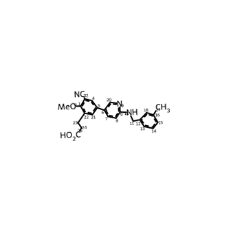 COc1c(C#N)cc(-c2ccc(NCc3cccc(C)c3)nc2)cc1CCC(=O)O